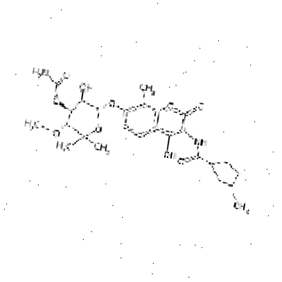 CO[C@@H]1[C@@H](OC(N)=O)[C@@H](O)[C@H](Oc2ccc3c(O)c(NC(=O)C4CC[C@H](C)C4)c(=O)oc3c2C)OC1(C)C